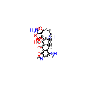 CNc1cc2ncoc2c2c1C[C@H]1C[C@H]3NCCC/C(O)=C(/C(N)=O)C(=O)[C@@]3(O)C(O)=C1C2=O